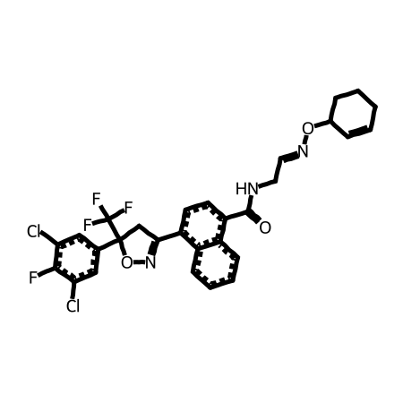 O=C(NCC=NOC1C=CCCC1)c1ccc(C2=NOC(c3cc(Cl)c(F)c(Cl)c3)(C(F)(F)F)C2)c2ccccc12